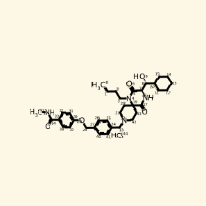 CCCCN1C(=O)[C@@H]([C@H](O)C2CCCCC2)NC(=O)C12CCN(Cc1ccc(COc3ccc(C(=O)NC)cc3)cc1)CC2.Cl